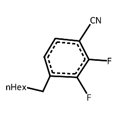 CCCCCCCc1ccc(C#N)c(F)c1F